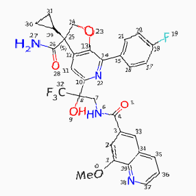 COc1cc(C(=O)NCC(O)(c2cc3c(c(-c4ccc(F)cc4)n2)OC[C@]3(C(N)=O)C2CC2)C(F)(F)F)cc2cccnc12